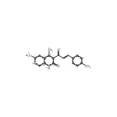 Cc1ccc(C=CC(=O)c2c(C)c3cc(C)ncc3[nH]c2=O)cc1